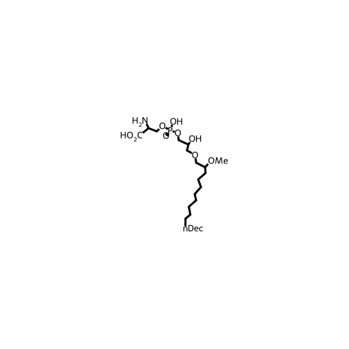 CCCCCCCCCCCCCCCCCCC(COCC(O)COP(=O)(O)OCC(N)C(=O)O)OC